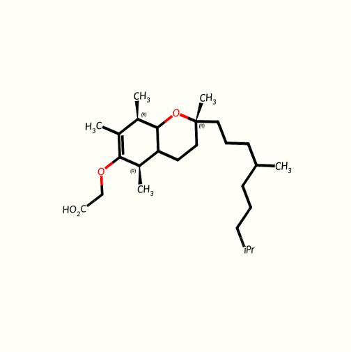 CC1=C(OCC(=O)O)[C@H](C)C2CC[C@@](C)(CCCC(C)CCCC(C)C)OC2[C@@H]1C